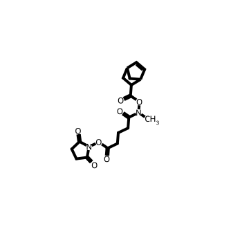 CN(OC(=O)C1CC2C=CC1C2)C(=O)CCCC(=O)ON1C(=O)CCC1=O